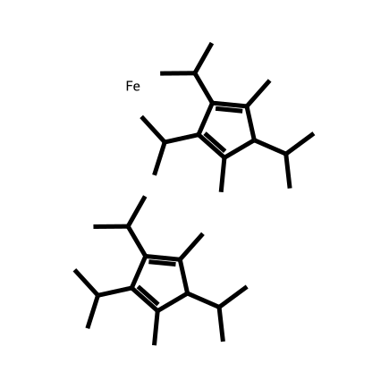 CC1=C(C(C)C)C(C(C)C)=C(C)C1C(C)C.CC1=C(C(C)C)C(C(C)C)=C(C)C1C(C)C.[Fe]